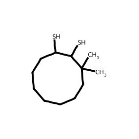 CC1(C)CCCCCCCC(S)C1S